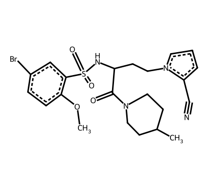 COc1ccc(Br)cc1S(=O)(=O)NC(CCn1cccc1C#N)C(=O)N1CCC(C)CC1